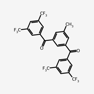 Cc1cc(C(=O)c2cc(C(F)(F)F)cc(C(F)(F)F)c2)cc(C(=O)c2cc(C(F)(F)F)cc(C(F)(F)F)c2)c1